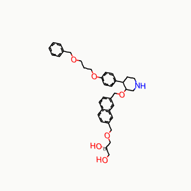 OC[C@H](O)COCc1ccc2ccc(COC3CNCCC3c3ccc(OCCCOCc4ccccc4)cc3)cc2c1